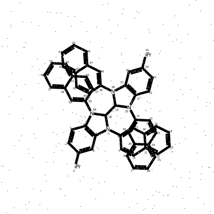 CC(C)c1ccc2c(c1)N(c1ccc3ccccc3c1)C(C1N(c3ccc4ccccc4c3)c3ccc(C(C)C)cc3N1c1ccc3ccccc3c1)N2c1ccc2ccccc2c1